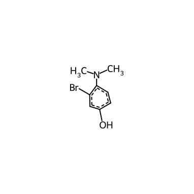 CN(C)c1ccc(O)cc1Br